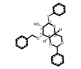 O[C@H]1[C@@H](OCc2ccccc2)[C@@H]2OC(c3ccccc3)OC[C@H]2O[C@@H]1Sc1ccccc1